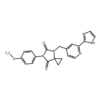 O=C1N(c2ccc(SC(F)(F)F)cc2)C(=O)C2(CC2)N1Cc1ccnc(-c2ncc[nH]2)c1